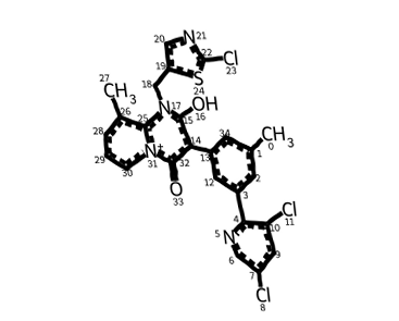 Cc1cc(-c2ncc(Cl)cc2Cl)cc(-c2c(O)n(Cc3cnc(Cl)s3)c3c(C)ccc[n+]3c2=O)c1